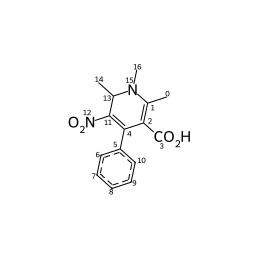 CC1=C(C(=O)O)C(c2ccccc2)=C([N+](=O)[O-])C(C)N1C